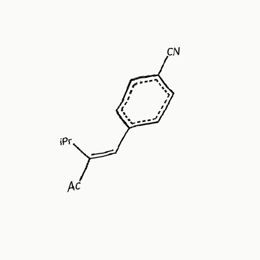 CC(=O)/C(=C/c1ccc(C#N)cc1)C(C)C